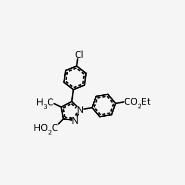 CCOC(=O)c1ccc(-n2nc(C(=O)O)c(C)c2-c2ccc(Cl)cc2)cc1